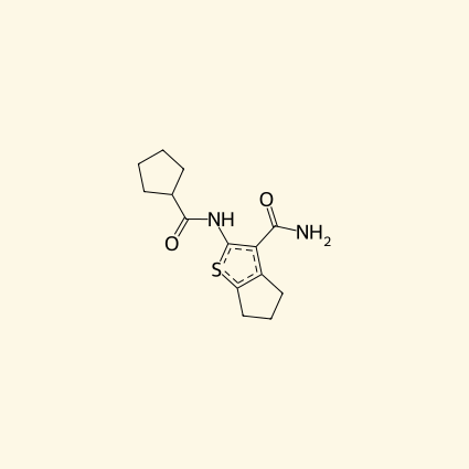 NC(=O)c1c(NC(=O)C2CCCC2)sc2c1CCC2